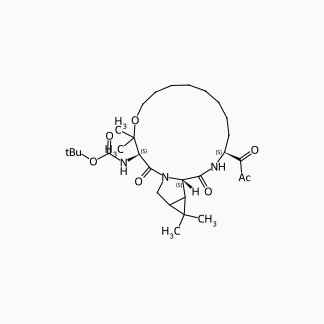 CC(=O)C(=O)[C@@H]1CCCCCCCCOC(C)(C)[C@H](NC(=O)OC(C)(C)C)C(=O)N2CC3C([C@H]2C(=O)N1)C3(C)C